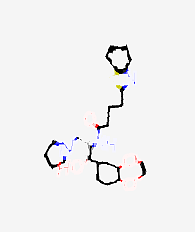 O=C(CCCc1nc2ccccc2s1)N[C@H](CN1CCCC1)[C@H](O)C1CCC2OCCOC2C1